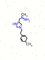 CC1C=CC(CCN2CNC(CN(C)N)C2)=CC1